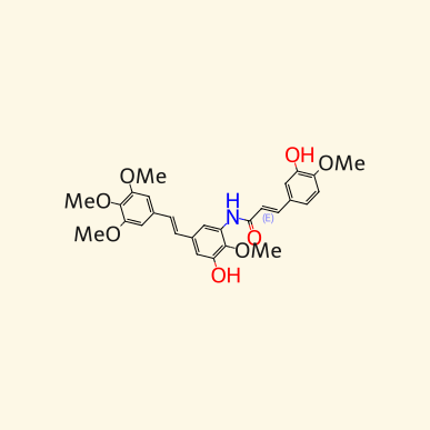 COc1ccc(/C=C/C(=O)Nc2cc(C=Cc3cc(OC)c(OC)c(OC)c3)cc(O)c2OC)cc1O